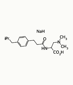 CC(C)Cc1ccc(CCC(=O)NC(CN(C)C)C(=O)O)cc1.[NaH]